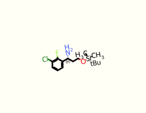 CC(C)(C)[Si](C)(C)OCC[C@@H](N)c1cccc(Cl)c1F